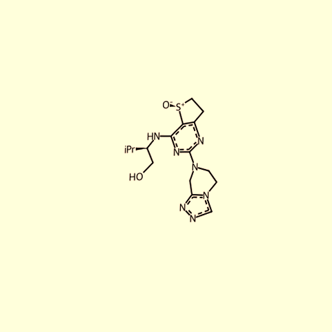 CC(C)[C@H](CO)Nc1nc(N2CCn3cnnc3C2)nc2c1[S@@+]([O-])CC2